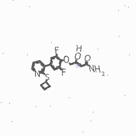 NC(=O)/C=C(\O)COc1c(F)cc(-c2cccnc2SC2CCC2)cc1F